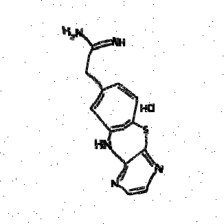 Cl.N=C(N)Cc1ccc2c(c1)Nc1nccnc1S2